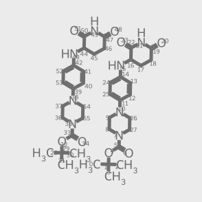 CC(C)(C)OC(=O)N1CCN(c2ccc(NC3CCC(=O)NC3=O)cc2)CC1.CC(C)(C)OC(=O)N1CCN(c2ccc(NC3CCC(=O)NC3=O)cc2)CC1